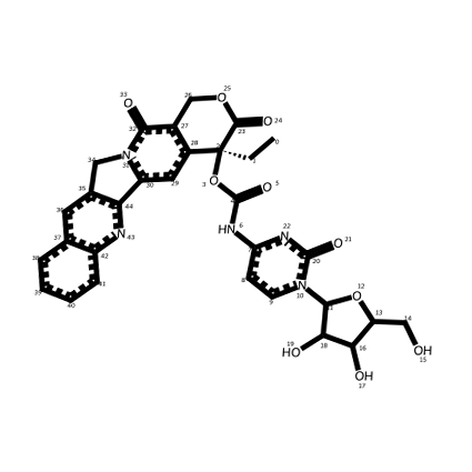 CC[C@@]1(OC(=O)Nc2ccn(C3OC(CO)C(O)C3O)c(=O)n2)C(=O)OCc2c1cc1n(c2=O)Cc2cc3ccccc3nc2-1